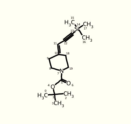 CC(C)(C)OC(=O)N1CCC(=CC#C[Si](C)(C)C)CC1